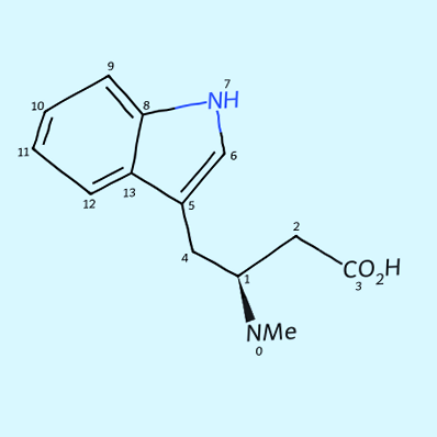 CN[C@H](CC(=O)O)Cc1c[nH]c2ccccc12